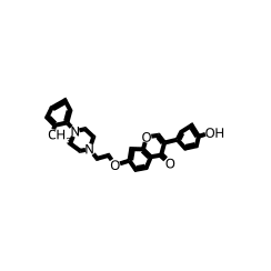 Cc1ccccc1N1CCN(CCOc2ccc3c(=O)c(-c4ccc(O)cc4)coc3c2)CC1